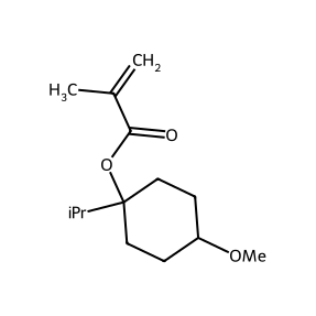 C=C(C)C(=O)OC1(C(C)C)CCC(OC)CC1